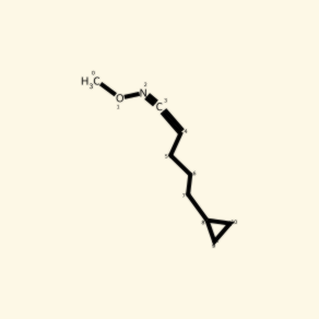 CON=C=CCCCC1[CH]C1